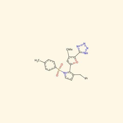 COc1cc(-c2c(CC(C)C)ccn2S(=O)(=O)c2ccc(C)cc2)oc1-c1nnn[nH]1